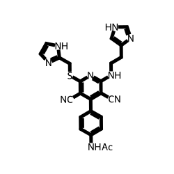 CC(=O)Nc1ccc(-c2c(C#N)c(NCCc3c[nH]cn3)nc(SCc3ncc[nH]3)c2C#N)cc1